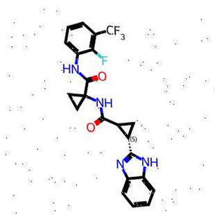 O=C(NC1(C(=O)Nc2cccc(C(F)(F)F)c2F)CC1)C1C[C@@H]1c1nc2ccccc2[nH]1